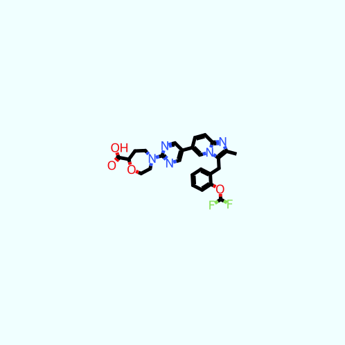 Cc1nc2ccc(-c3cnc(N4CCOC(C(=O)O)CC4)nc3)cn2c1Cc1ccccc1OC(F)F